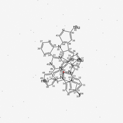 CCCCc1ccc2c(c1)c1cc(I)ccc1n2-c1ccccc1-c1nc(-c2ccccc2-n2c3ccc(C)cc3c3cc(C(C)(C)C)ccc32)nc(-c2ccccc2-n2c3ccc(I)cc3c3cc(C(C)(C)C)ccc32)n1